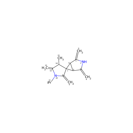 C=C1NC(=C)C2C1C21C(=C)N(C(C)C)C(=C)C1C